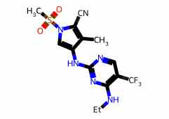 CCNc1nc(Nc2cn(S(C)(=O)=O)c(C#N)c2C)ncc1C(F)(F)F